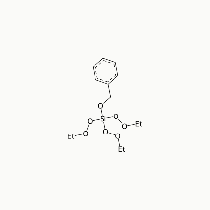 CCOO[Si](OCc1ccccc1)(OOCC)OOCC